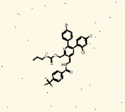 CCCNC(=O)OCc1nc(-c2ccc(Br)cc2)c(-c2ccc(Cl)cc2Cl)cc1CNC(=O)c1ccc(C(F)(F)F)cc1